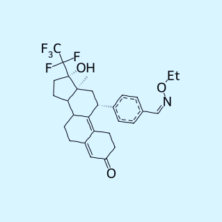 CCO/N=C\c1ccc([C@H]2C[C@@]3(C)C(CC[C@@]3(O)C(F)(F)C(F)(F)F)C3CCC4=CC(=O)CCC4=C32)cc1